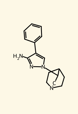 Nc1nn(C2CN3CCC2CC3)cc1-c1ccccc1